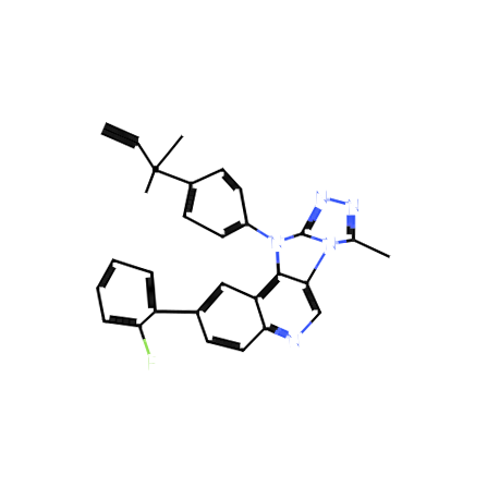 C#CC(C)(C)c1ccc(-n2c3c4cc(-c5ccccc5F)ccc4ncc3n3c(C)nnc23)cc1